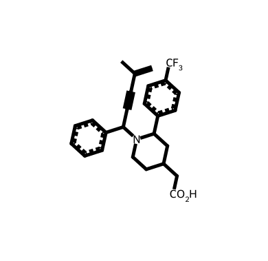 C=C(C)C#CC(c1ccccc1)N1CCC(CC(=O)O)CC1c1ccc(C(F)(F)F)cc1